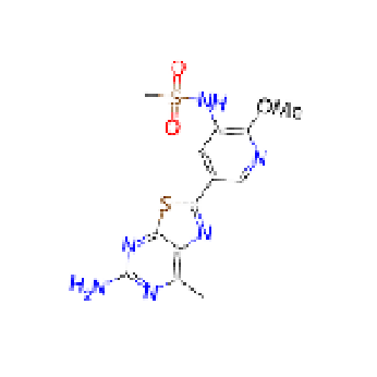 COc1ncc(-c2nc3c(C)nc(N)nc3s2)cc1NS(C)(=O)=O